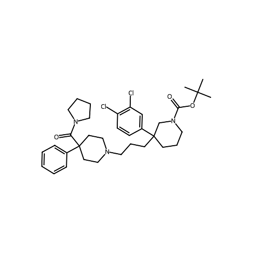 CC(C)(C)OC(=O)N1CCCC(CCCN2CCC(C(=O)N3CCCC3)(c3ccccc3)CC2)(c2ccc(Cl)c(Cl)c2)C1